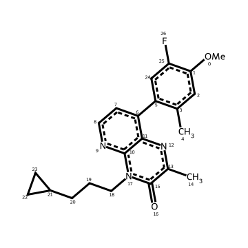 COc1cc(C)c(-c2ccnc3c2nc(C)c(=O)n3CCCC2CC2)cc1F